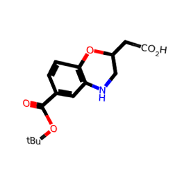 CC(C)(C)OC(=O)c1ccc2c(c1)NCC(CC(=O)O)O2